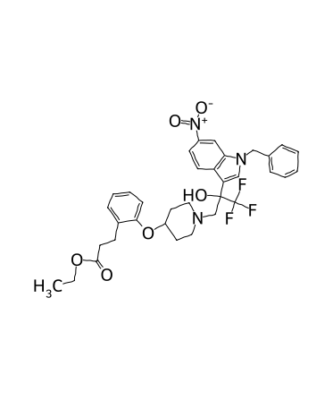 CCOC(=O)CCc1ccccc1OC1CCN(CC(O)(c2cn(Cc3ccccc3)c3cc([N+](=O)[O-])ccc23)C(F)(F)F)CC1